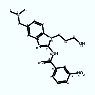 CN(C)Cc1ccc2c(c1)nc(NC(=O)c1cccc([N+](=O)[O-])c1)n2CCCO